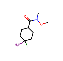 CON(C)C(=O)C1CCC(F)(P)CC1